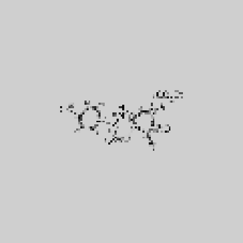 CCOC(=O)Cn1cnc(O[C@@H](C)[C@H](N)c2ccc(Cl)cc2)c(Br)c1=O